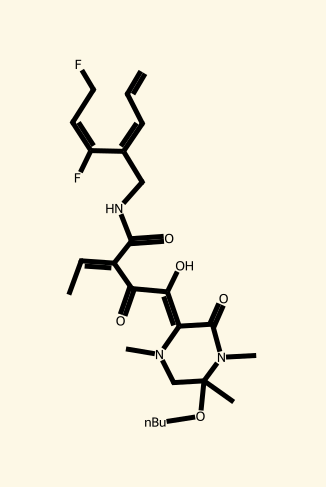 C=C/C=C(CNC(=O)/C(=C/C)C(=O)/C(O)=C1/C(=O)N(C)C(C)(OCCCC)CN1C)\C(F)=C/CF